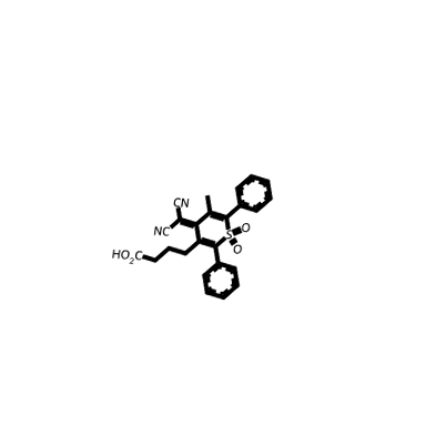 CC1=C(c2ccccc2)S(=O)(=O)C(c2ccccc2)=C(CCCC(=O)O)C1=C(C#N)C#N